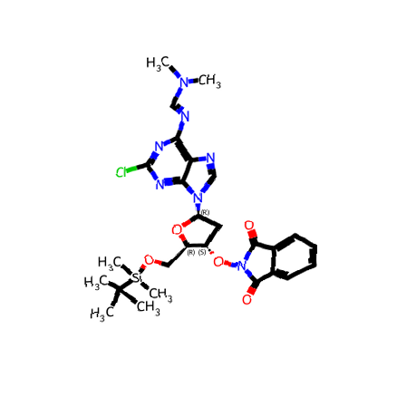 CN(C)C=Nc1nc(Cl)nc2c1ncn2[C@H]1C[C@H](ON2C(=O)c3ccccc3C2=O)[C@@H](CO[Si](C)(C)C(C)(C)C)O1